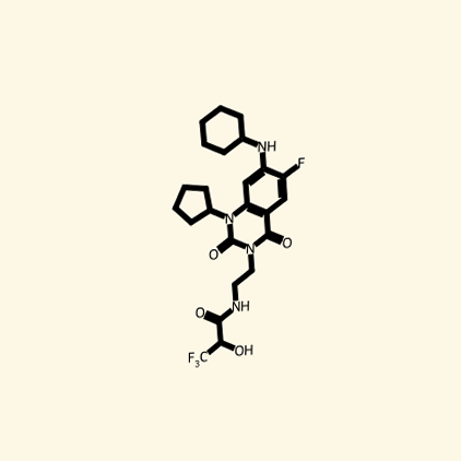 O=C(NCCn1c(=O)c2cc(F)c(NC3CCCCC3)cc2n(C2CCCC2)c1=O)C(O)C(F)(F)F